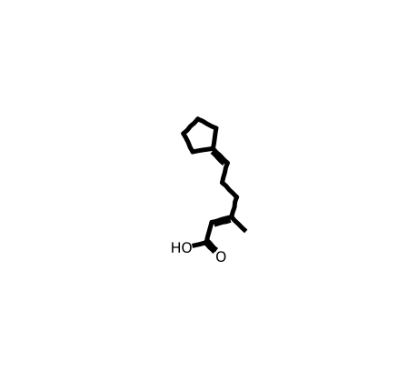 CC(=CC(=O)O)CCC=C1CCCC1